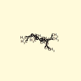 CCCCC(CC)COc1cccc(C(=O)Oc2c(C)cc(-c3cc(C)c(OC(=O)c4cc(OCC(CC)CCCC)cc(OCC(CC)CCCC)c4)c(C)c3)cc2C)c1